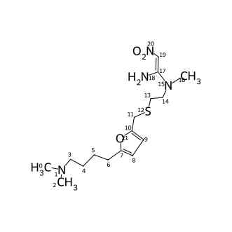 CN(C)CCCCc1ccc(CSCCN(C)C(N)=C[N+](=O)[O-])o1